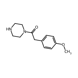 COc1ccc(CC(=O)N2CCNCC2)cc1